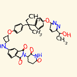 CCC(CC)(c1ccc(Oc2ccc(C(C)O)nn2)cc1)c1ccc(O[C@H]2C[C@H](Nc3ccc4c(c3)C(=O)N(C3CCC(=O)NC3=O)C4=O)C2)cc1